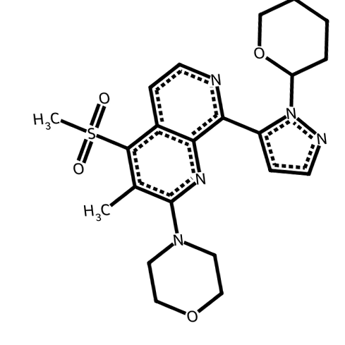 Cc1c(N2CCOCC2)nc2c(-c3ccnn3C3CCCCO3)nccc2c1S(C)(=O)=O